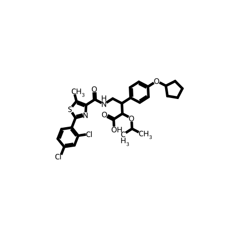 Cc1sc(-c2ccc(Cl)cc2Cl)nc1C(=O)NCC(c1ccc(OC2CCCC2)cc1)C(OC(C)C)C(=O)O